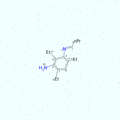 CCCC=Nc1c(CC)cc(CC)c(N)c1CC